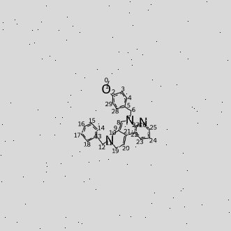 COc1ccc(CN2C=C3CN(Cc4ccccc4)CC=C3c3cccnc32)cc1